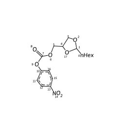 CCCCCCC1OCC(COC(=O)Oc2ccc([N+](=O)[O-])cc2)O1